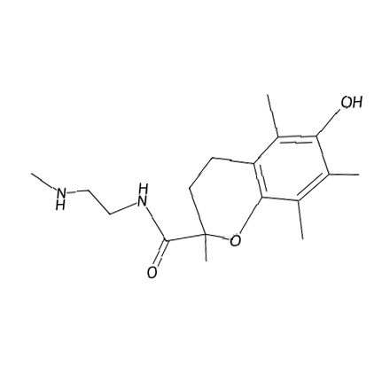 CNCCNC(=O)C1(C)CCc2c(C)c(O)c(C)c(C)c2O1